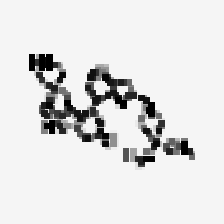 CC1(C)C2CN(Cc3cc4nccc(-c5cc(Cl)cc6[nH]c(=O)n(CC7(F)CCNCC7)c56)c4s3)CC21